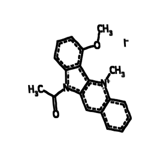 COc1cccc2c1c1c(cc3ccccc3[n+]1C)n2C(C)=O.[I-]